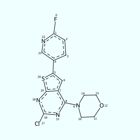 Fc1ccc(-c2cc3c(N4CCOCC4)nc(Cl)nc3s2)cn1